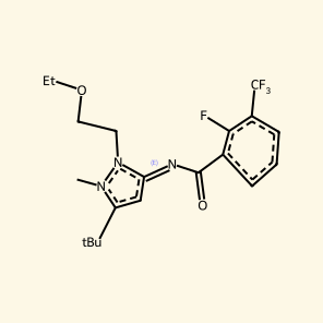 CCOCCn1/c(=N/C(=O)c2cccc(C(F)(F)F)c2F)cc(C(C)(C)C)n1C